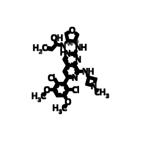 C=CC(O)N[C@H]1COC[C@H]1Nc1ncc2cc(-c3c(Cl)c(OC)cc(OC)c3Cl)nc(NC3CN(C)C3)c2n1